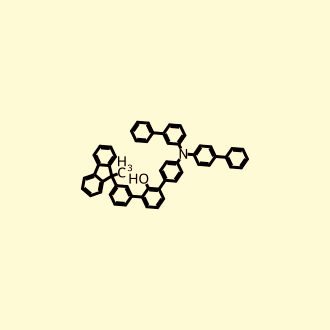 CC1(c2cccc(-c3cccc(-c4ccc(N(c5ccc(-c6ccccc6)cc5)c5cccc(-c6ccccc6)c5)cc4)c3O)c2)c2ccccc2-c2ccccc21